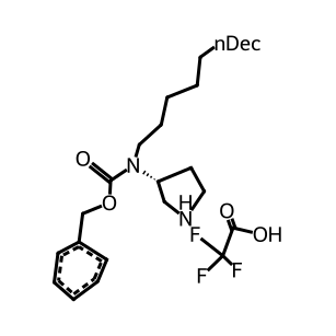 CCCCCCCCCCCCCCCN(C(=O)OCc1ccccc1)[C@@H]1CCNC1.O=C(O)C(F)(F)F